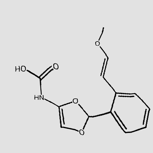 COC=Cc1ccccc1C1OC=C(NC(=O)O)O1